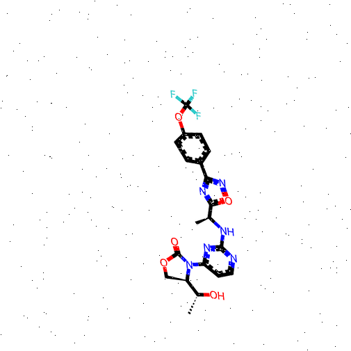 C[C@H](Nc1nccc(N2C(=O)OC[C@@H]2[C@@H](C)O)n1)c1nc(-c2ccc(OC(F)(F)F)cc2)no1